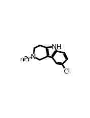 CCCN1CCc2[nH]c3ccc(Cl)cc3c2C1